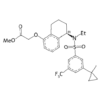 CCN([C@@H]1CCCc2c(OCC(=O)OC)cccc21)S(=O)(=O)c1cc(C(F)(F)F)cc(C2(C)CC2)c1